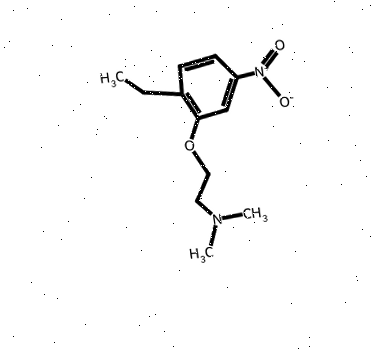 CCc1ccc([N+](=O)[O-])cc1OCCN(C)C